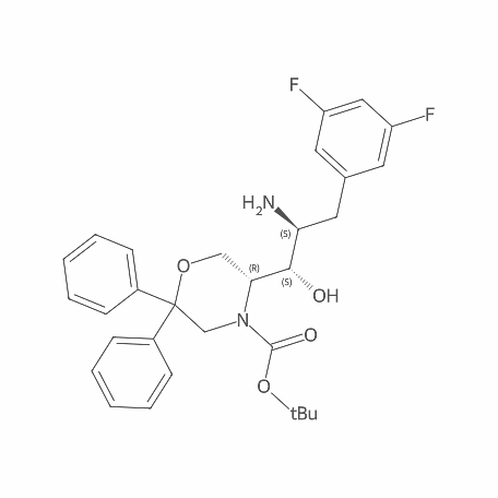 CC(C)(C)OC(=O)N1CC(c2ccccc2)(c2ccccc2)OC[C@@H]1[C@@H](O)[C@@H](N)Cc1cc(F)cc(F)c1